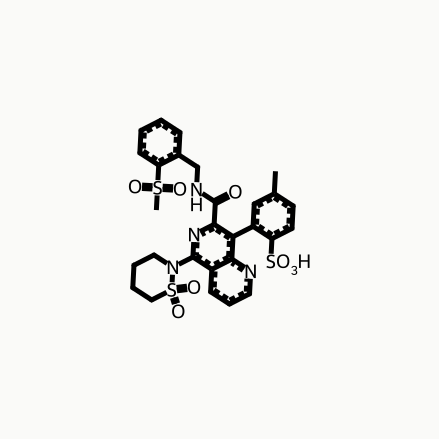 Cc1ccc(S(=O)(=O)O)c(-c2c(C(=O)NCc3ccccc3S(C)(=O)=O)nc(N3CCCCS3(=O)=O)c3cccnc23)c1